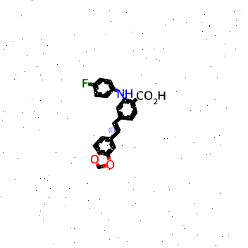 O=C(O)c1ccc(/C=C/c2ccc3c(c2)OCO3)cc1Nc1ccc(F)cc1